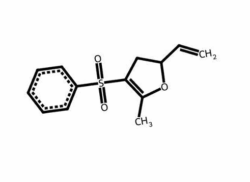 C=CC1CC(S(=O)(=O)c2ccccc2)=C(C)O1